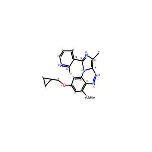 COc1cc(OCC2CC2)cc2c1nnc1c(C)nc(-c3cccnc3C)n12